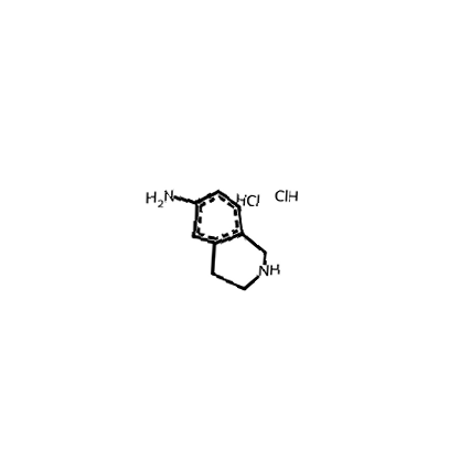 Cl.Cl.Nc1ccc2c(c1)CCNC2